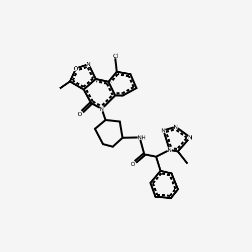 Cc1onc2c1c(=O)n(C1CCCC(NC(=O)C(c3ccccc3)n3nnnc3C)C1)c1cccc(Cl)c21